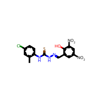 Cc1cc(Cl)ccc1NC(=S)NN=Cc1cc([N+](=O)[O-])cc([N+](=O)[O-])c1O